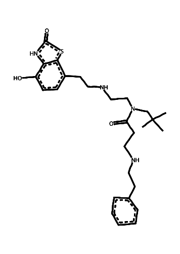 CC(C)(C)CN(CCNCCc1ccc(O)c2[nH]c(=O)sc12)C(=O)CCNCCc1ccccc1